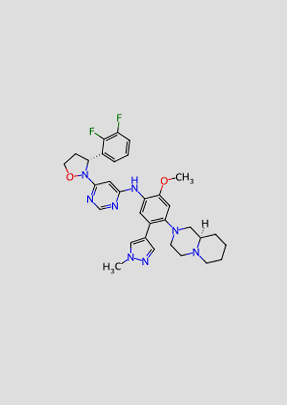 COc1cc(N2CCN3CCCC[C@@H]3C2)c(-c2cnn(C)c2)cc1Nc1cc(N2OCC[C@@H]2c2cccc(F)c2F)ncn1